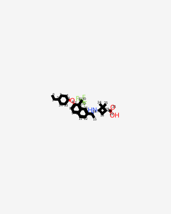 CCC1CCC(Oc2ccc3ccc(C(C)N[C@H]4C[C@@H](C(=O)O)C4(C)C)cc3c2C(F)(F)F)CC1